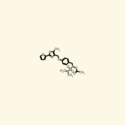 CC(=O)ON(Cc1ccc(OCc2nc(-c3cccs3)oc2C)cc1)S(=O)(=O)N(C)C